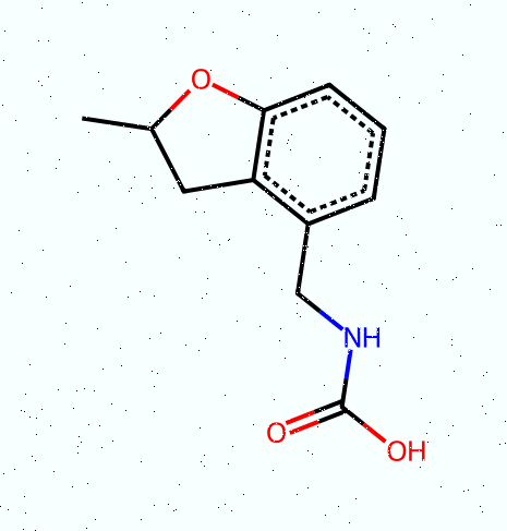 CC1Cc2c(CNC(=O)O)cccc2O1